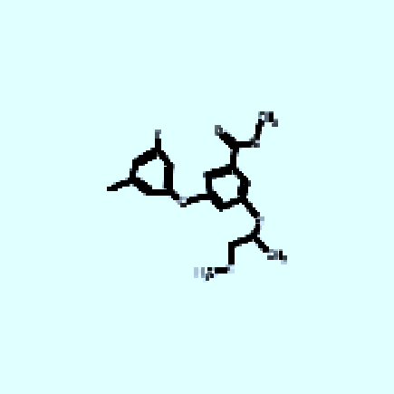 COCC(C)Oc1cc(Oc2cc(F)cc(F)c2)cc(C(=O)OC)c1